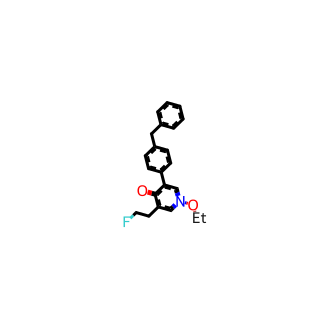 CCOn1cc(CCF)c(=O)c(-c2ccc(Cc3ccccc3)cc2)c1